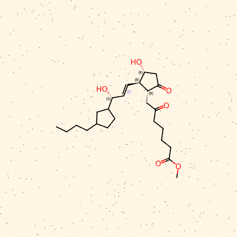 CCCCC1CCC([C@H](O)/C=C/[C@H]2[C@H](O)CC(=O)[C@@H]2CC(=O)CCCCC(=O)OC)C1